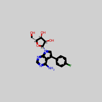 Nc1ncnc2c1c(-c1ccc(F)cc1)cn2[C@@H]1O[C@H](CO)[C@@H](O)[C@H]1O